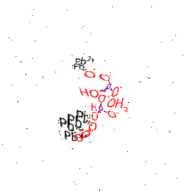 O.[O-]P([O-])O.[O-]P([O-])O.[O]=[Pb].[O]=[Pb].[O]=[Pb].[O]=[Pb].[Pb+2].[Pb+2]